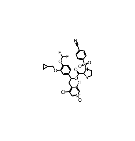 N#Cc1ccc(S(=O)(=O)N2CCSC2C(=O)OC(Cc2c(Cl)c[n+]([O-])cc2Cl)c2ccc(OC(F)F)c(OCC3CC3)c2)cc1